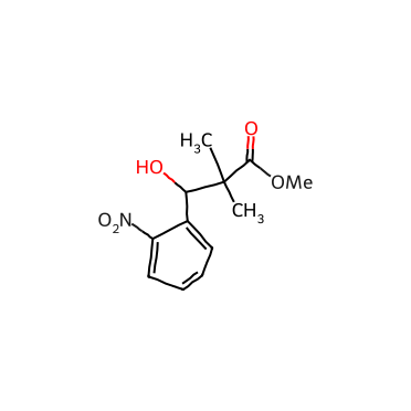 COC(=O)C(C)(C)C(O)c1ccccc1[N+](=O)[O-]